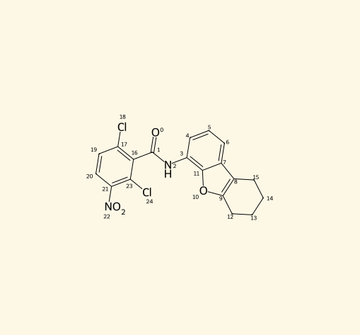 O=C(Nc1cccc2c3c(oc12)CCCC3)c1c(Cl)ccc([N+](=O)[O-])c1Cl